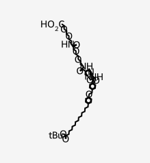 CC(C)(C)OC(=O)CCCCCCCCCCCCCc1ccc(OCc2ccc(S(=O)(=O)Nc3ncc(C(=O)NCCOCCOCC(=O)NCCOCCOCC(=O)O)cn3)cc2)cc1